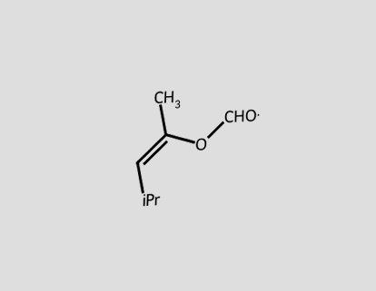 CC(=CC(C)C)O[C]=O